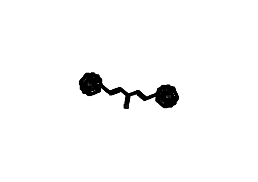 O=C(C=C[C]12[CH]3[CH]4[CH]5[CH]1[Fe]45321678[CH]2[CH]1[CH]6[CH]7[CH]28)C=C[C]12[CH]3[CH]4[CH]5[CH]1[Fe]45321678[CH]2[CH]1[CH]6[CH]7[CH]28